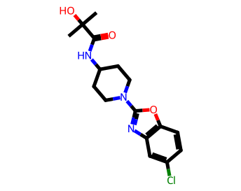 CC(C)(O)C(=O)NC1CCN(c2nc3cc(Cl)ccc3o2)CC1